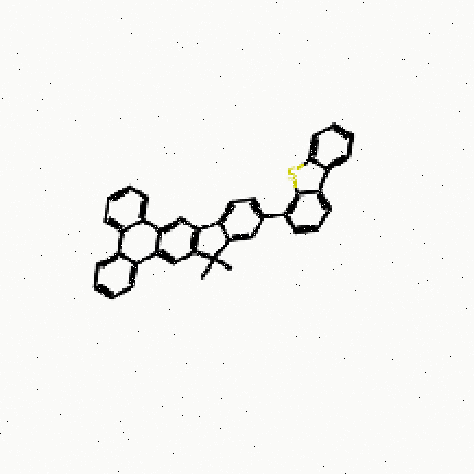 CC1(C)c2cc(-c3cccc4c3sc3ccccc34)ccc2-c2cc3c4ccccc4c4ccccc4c3cc21